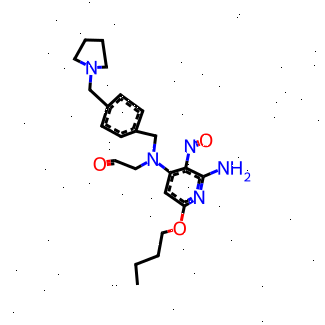 CCCCOc1cc(N(CC=O)Cc2ccc(CN3CCCC3)cc2)c(N=O)c(N)n1